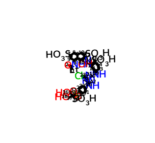 CCC(=O)Nc1cc(S(=O)(=O)O)cc2cc(S(=O)(=O)O)c(N=Nc3cc(Nc4nc(Cl)nc(Nc5ccc(S(=O)(=O)C(CO)(CO)S(=O)(=O)O)cc5)n4)ccc3S(=O)(=O)O)c(O)c12